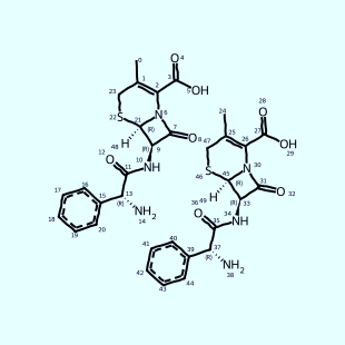 CC1=C(C(=O)O)N2C(=O)[C@@H](NC(=O)[C@H](N)c3ccccc3)[C@H]2SC1.CC1=C(C(=O)O)N2C(=O)[C@@H](NC(=O)[C@H](N)c3ccccc3)[C@H]2SC1